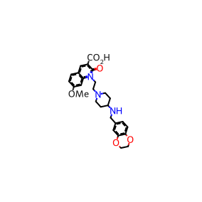 COc1ccc2cc(C(=O)O)c(=O)n(CCN3CCC(NCc4ccc5c(c4)OCCO5)CC3)c2c1